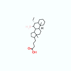 BC1C2C3CCC(CCCC(=O)O)C3(C)CC[C@@H]2C2(C)CCCCC2[C@H]1CC